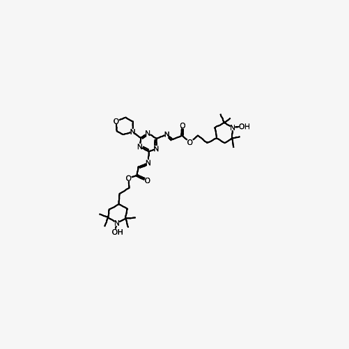 CC1(C)CC(CCOC(=O)C=Nc2nc(N=CC(=O)OCCC3CC(C)(C)N(O)C(C)(C)C3)nc(N3CCOCC3)n2)CC(C)(C)N1O